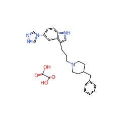 O=C(O)C(=O)O.c1ccc(CC2CCN(CCCc3c[nH]c4ccc(-n5cnnc5)cc34)CC2)cc1